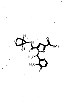 CNC(=O)c1cc(C(=O)N[C@H]2[C@@H]3COC[C@@H]32)n([C@H](C)c2cccc(F)c2C)n1